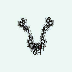 O=C(O)CCC(CN1C(=O)CCc2ccc(OCCCCN3CCN(c4cccc5sccc45)CC3)cc21)(CN1C(=O)CCc2ccc(OCCCCN3CCN(c4cccc5sccc45)CC3)cc21)C(=O)O